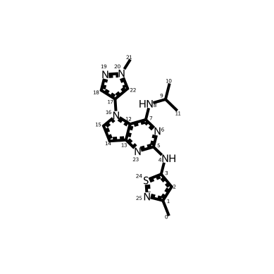 Cc1cc(Nc2nc(NC(C)C)c3c(ccn3-c3cnn(C)c3)n2)sn1